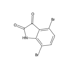 O=C1Nc2c(Br)ccc(Br)c2C1=O